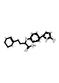 O=C(O)C(CCC1=CCCCC1)Oc1ccc(-c2ccc(Cl)s2)cc1